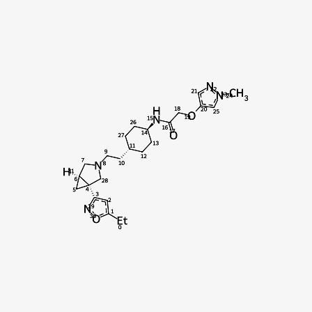 CCc1cc([C@]23C[C@H]2CN(CC[C@H]2CC[C@H](NC(=O)COc4cnn(C)c4)CC2)C3)no1